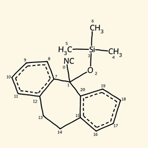 [C-]#[N+]C1(O[Si](C)(C)C)c2ccccc2CCc2ccccc21